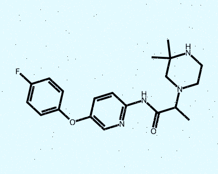 CC(C(=O)Nc1ccc(Oc2ccc(F)cc2)cn1)N1CCNC(C)(C)C1